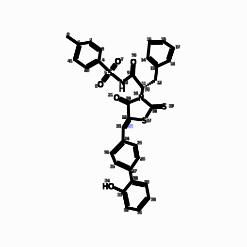 Cc1ccc(S(=O)(=O)NC(=O)[C@H](Cc2ccccc2)N2C(=O)/C(=C/c3ccc(-c4ccccc4O)cc3)SC2=S)cc1